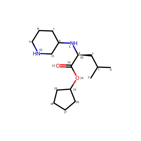 CC(C)C[C@H](NC1CCCNC1)C(=O)OC1CCCC1